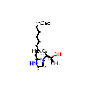 CCCCCCCCCCCCCCCCCC1NCCN1C(C(=O)O)C(C)O